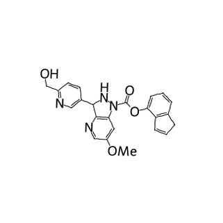 COc1cnc2c(c1)N(C(=O)Oc1cccc3c1C=CC3)NC2c1ccc(CO)nc1